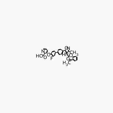 Cc1noc(-c2ccc(-c3ccc(Oc4cccnc4C(=O)O)c(F)c3)cc2)c1NC(=O)O[C@H](C)c1ccccc1